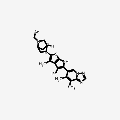 CC(=O)CN1C[C@H]2CC1C[C@@H]2c1sc2[nH]c(-c3cn4ncnc4c(C)c3C)c(C(C)C)c2c1C